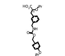 CC(C)Oc1ccc(COC(=O)NCc2cccc(C[C@H](OC(C)C)C(=O)O)c2)cc1